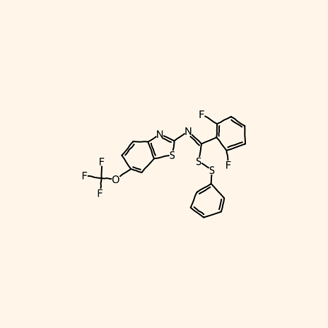 Fc1cccc(F)c1C(=Nc1nc2ccc(OC(F)(F)F)cc2s1)SSc1ccccc1